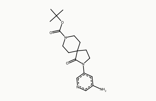 CC(C)(C)OC(=O)N1CCC2(CC1)CCN(c1cncc(N)c1)C2=O